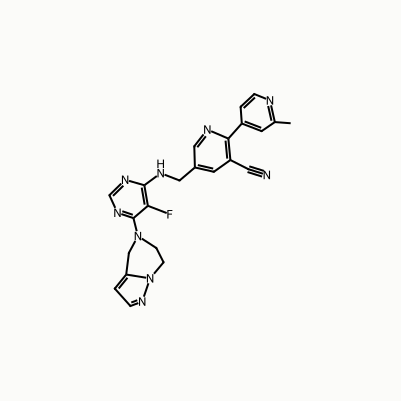 Cc1cc(-c2ncc(CNc3ncnc(N4CCn5nccc5C4)c3F)cc2C#N)ccn1